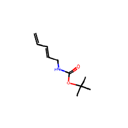 C=C/C=C/CNC(=O)OC(C)(C)C